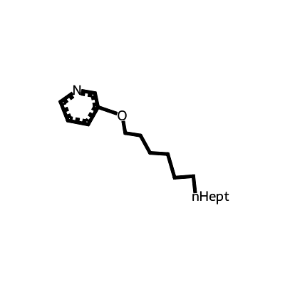 CCCCCCCCCCCCCOc1cccnc1